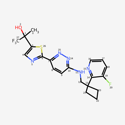 CC(O)(c1cnc(-c2ccc(NCC3(c4ncccc4F)CCC3)nn2)s1)C(F)(F)F